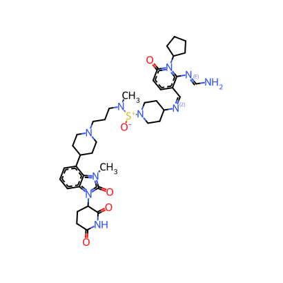 CN(CCCN1CCC(c2cccc3c2n(C)c(=O)n3C2CCC(=O)NC2=O)CC1)[S+]([O-])N1CCC(/N=C\c2ccc(=O)n(C3CCCC3)c2/N=C/N)CC1